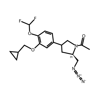 CC(=O)N1CC(c2ccc(OC(F)F)c(OCC3CC3)c2)C[C@@H]1CN=[N+]=[N-]